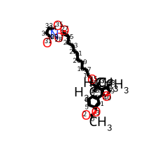 CC(=O)Oc1cccc(C2=C(C(C)(C)COCCCCCCCCCCC(=O)ON3C(=O)CCC3=O)C(C)(C)CO2)c1